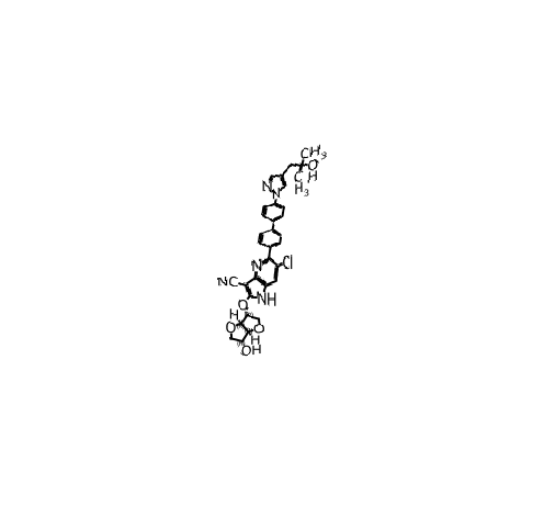 CC(C)(O)Cc1cnn(-c2ccc(-c3ccc(-c4nc5c(C#N)c(O[C@@H]6CO[C@H]7[C@@H]6OC[C@H]7O)[nH]c5cc4Cl)cc3)cc2)c1